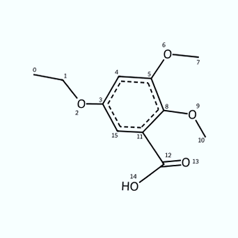 CCOc1cc(OC)c(OC)c(C(=O)O)c1